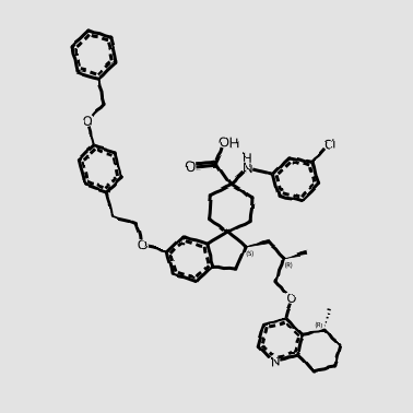 C[C@@H](COc1ccnc2c1[C@H](C)CCC2)C[C@H]1Cc2ccc(OCCc3ccc(OCc4ccccc4)cc3)cc2C12CCC(Nc1cccc(Cl)c1)(C(=O)O)CC2